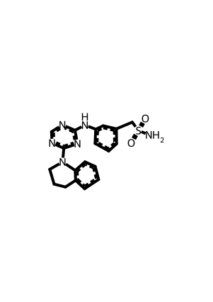 NS(=O)(=O)Cc1cccc(Nc2ncnc(N3CCCc4ccccc43)n2)c1